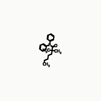 CCCCCC(C)(C)C(=O)P(c1ccccc1)c1ccccc1